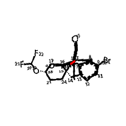 O=C1NC(=O)C2(N1)c1cc(Br)ccc1C[C@]21CC[C@@H](OC(F)F)CC1